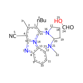 CCCCc1c(C)c(C#N)c2nc3ccccc3n2c1N1CCCC1N(C)C.O=CO